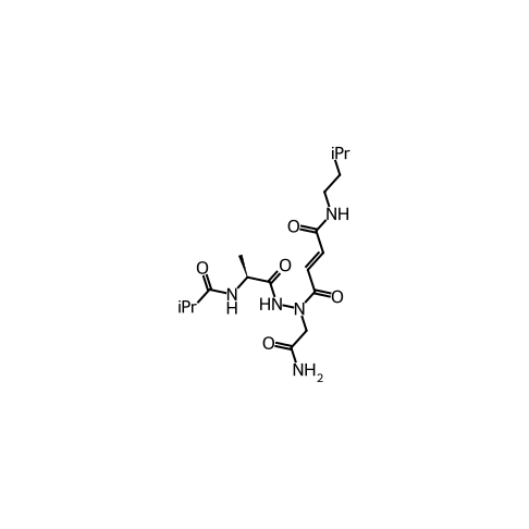 CC(C)CCNC(=O)/C=C/C(=O)N(CC(N)=O)NC(=O)[C@H](C)NC(=O)C(C)C